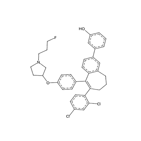 Oc1cccc(-c2ccc3c(c2)CCCC(c2ccc(Cl)cc2Cl)=C3c2ccc(OC3CCN(CCCF)C3)cc2)c1